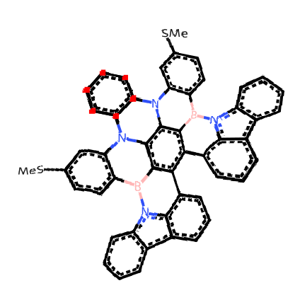 CSc1ccc2c(c1)N(c1ccccc1)c1c3c(c4c5c1N(c1ccccc1)c1cc(SC)ccc1B5n1c5ccccc5c5cccc-4c51)-c1cccc4c5ccccc5n(c14)B23